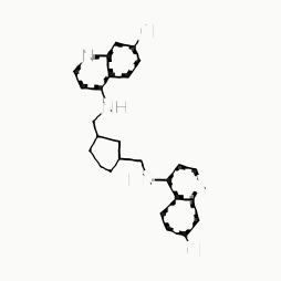 Clc1ccc2c(NCC3CCCC(CNc4ccnc5cc(Cl)ccc45)C3)ccnc2c1